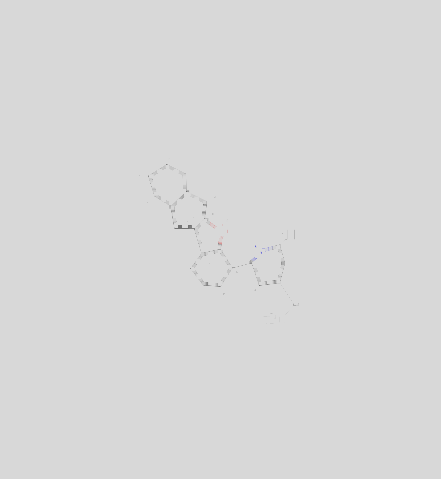 [2H]c1cc(CC(C)(C)C)cc(-c2cccc3c2oc2cc4ccccc4cc23)n1